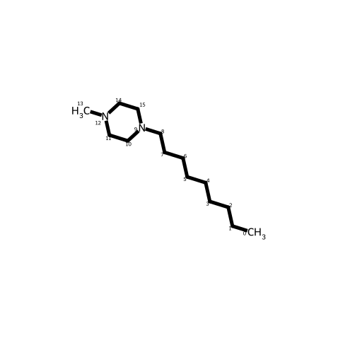 CCCCCCCCCN1CCN(C)CC1